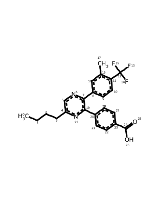 CCCCc1cnc(-c2ccc(C(F)(F)F)c(C)c2)c(-c2ccc(C(=O)O)cc2)n1